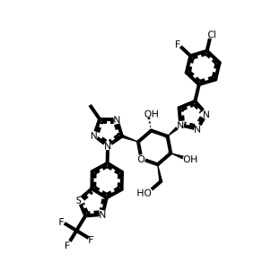 Cc1nc([C@@H]2O[C@H](CO)[C@H](O)[C@H](n3cc(-c4ccc(Cl)c(F)c4)nn3)[C@H]2O)n(-c2ccc3nc(C(F)(F)F)sc3c2)n1